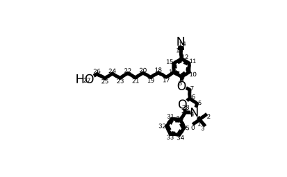 CC(C)(C)N1CC(COc2ccc(C#N)cc2CCCCCCCCCCO)OC1c1ccccc1